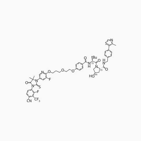 Cc1ncsc1-c1ccc(CNC(=O)[C@@H]2C[C@@H](O)CN2C(=O)[C@@H](NC(=O)c2ccc(OCCOCCCOc3ncc(N4C(=S)N(c5ccc(C#N)c(C(F)(F)F)c5F)C(=O)C4(C)C)cc3F)cc2)C(C)(C)C)cc1